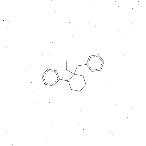 C=CC1(Cc2ccccc2)CCCCN1c1ccccc1